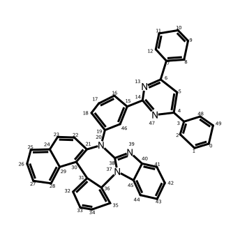 c1ccc(-c2cc(-c3ccccc3)nc(-c3cccc(N4c5ccc6ccccc6c5-c5ccccc5-n5c4nc4ccccc45)c3)n2)cc1